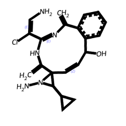 C=C1/N=C(\C(Cl)=C/N)NC(=C)C2(/C=C\C(O)c3ccccc31)C(C1CC1)N2N